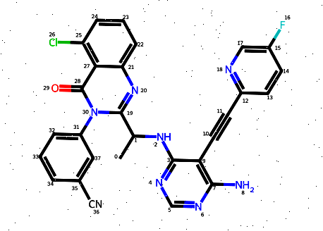 CC(Nc1ncnc(N)c1C#Cc1ccc(F)cn1)c1nc2cccc(Cl)c2c(=O)n1-c1cccc(C#N)c1